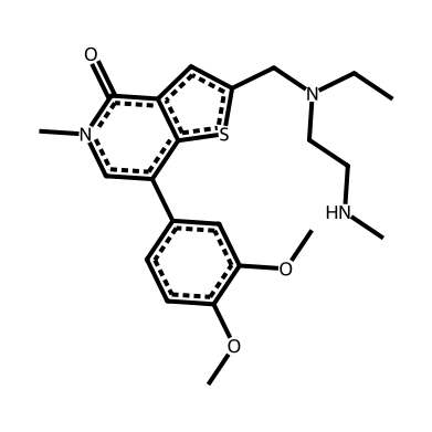 CCN(CCNC)Cc1cc2c(=O)n(C)cc(-c3ccc(OC)c(OC)c3)c2s1